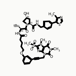 Cc1ncsc1-c1ccc(CNC(=O)[C@@H]2C[C@@H](O)CN2C(=O)[C@@H](NC(=O)CCCCOc2cccc(C#CCn3c(=O)n(C)c(=O)c4c3nc(S(C)(=O)=O)n4C)c2)C(C)(C)C)cc1